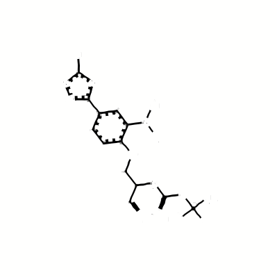 Cc1noc(-c2ccc(OCC(C=O)NC(=O)OC(C)(C)C)c(N(C)C)c2)n1